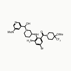 CNc1cncc(C(O)N2CCCC(Nc3c(N)cc(Br)cc3C(=O)N3CCC(OC)(C(F)(F)F)CC3)C2)c1